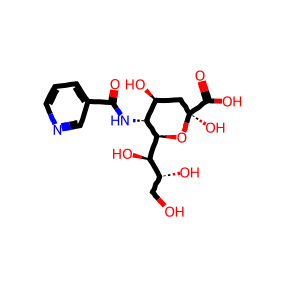 O=C(N[C@H]1[C@H]([C@H](O)[C@H](O)CO)O[C@](O)(C(=O)O)C[C@@H]1O)c1cccnc1